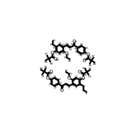 CCCc1cc(/C=C/C(=O)c2ccc(OC(=O)C(C)(C)C)cc2)c(OCC)cc1OC(=O)C(C)(C)C.CCOc1cc(OC(=O)C(C)(C)C)c(CC)cc1/C=C/C(=O)c1ccc(OC(=O)C(C)(C)C)cc1